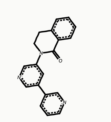 O=C1c2ccccc2CCN1c1cncc(-c2cccnc2)c1